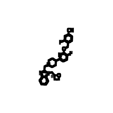 N#Cc1ccc(COc2nc(C3CCN(Cc4nc5ccccc5n4C[C@@H]4CCO4)CC3)ccc2F)c(F)c1